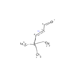 CC(C)(C)/C=C/[C]=O